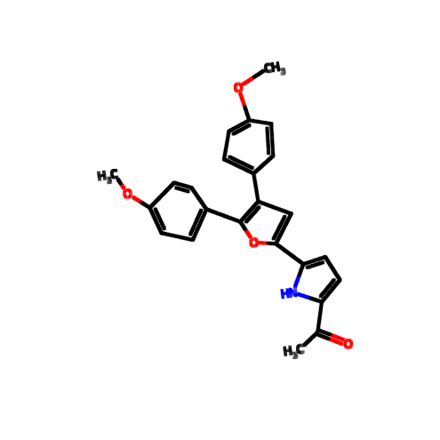 COc1ccc(-c2cc(-c3ccc(C(C)=O)[nH]3)oc2-c2ccc(OC)cc2)cc1